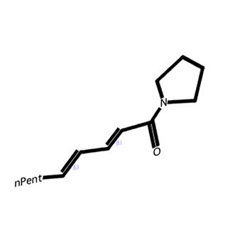 CCCCC/C=C/C=C/C(=O)N1CCCC1